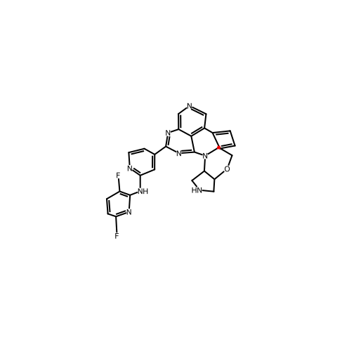 Fc1ccc(F)c(Nc2cc(-c3nc(N4CCOC5CNCC54)c4c(C5=CC=C5)cncc4n3)ccn2)n1